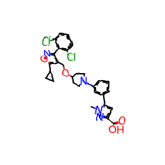 Cn1nc(C(=O)O)cc1-c1cccc(N2CCC(OCc3c(-c4c(Cl)cccc4Cl)noc3C3CC3)CC2)c1